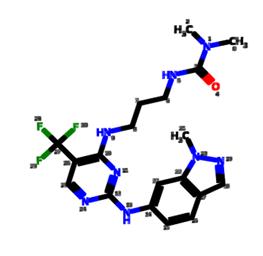 CN(C)C(=O)NCCCNc1nc(Nc2ccc3cnn(C)c3c2)ncc1C(F)(F)F